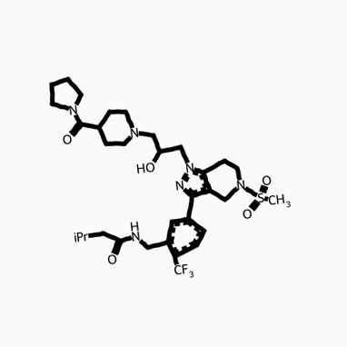 CC(C)CC(=O)NCc1cc(-c2nn(CC(O)CN3CCC(C(=O)N4CCCC4)CC3)c3c2CN(S(C)(=O)=O)CC3)ccc1C(F)(F)F